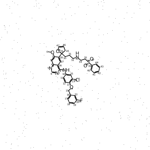 COc1cc2ncnc(Nc3ccc(OCc4cccc(F)c4)c(Cl)c3)c2cc1C1(CCCNCCS(=O)(=O)c2ccccc2)CC=CO1